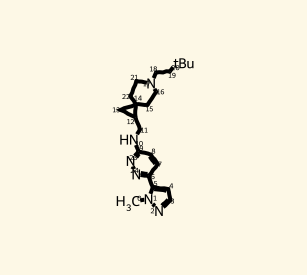 Cn1nccc1-c1ccc(NCC2CC23CCN(CCC(C)(C)C)CC3)nn1